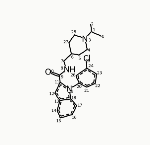 CC(C)N1CCC(CNC(=O)c2cc3ccccc3n2-c2cccc(Cl)c2)CC1